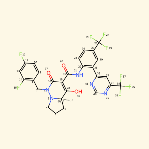 C[C@]12CCCN1N(Cc1ccc(F)cc1F)C(=O)C(C(=O)Nc1ccc(C(F)(F)F)cc1-c1cc(C(F)(F)F)ncn1)=C2O